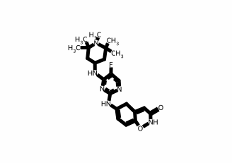 CN1C(C)(C)CC(Nc2nc(NC3=CC=C4ONC(=O)C=C4C3)ncc2F)CC1(C)C